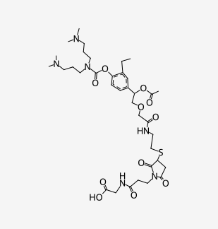 CCc1cc(C(COCC(=O)NCCSC2CC(=O)N(CCC(=O)NCC(=O)O)C2=O)OC(C)=O)ccc1OC(=O)N(CCCN(C)C)CCCN(C)C